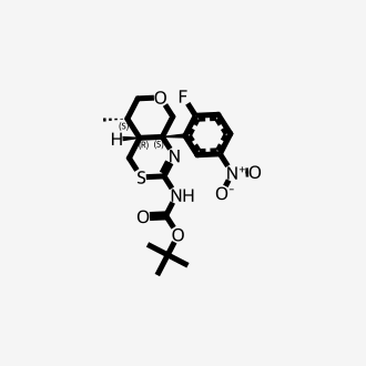 C[C@@H]1COC[C@]2(c3cc([N+](=O)[O-])ccc3F)N=C(NC(=O)OC(C)(C)C)SC[C@H]12